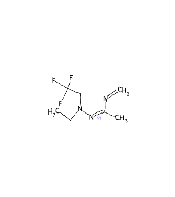 C=N/C(C)=N\N(CC)CC(F)(F)F